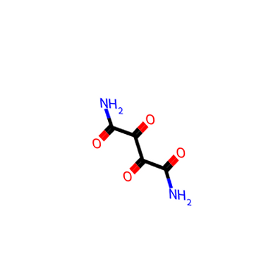 NC(=O)C(=O)C(=O)C(N)=O